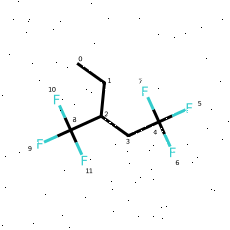 CCC(CC(F)(F)F)C(F)(F)F